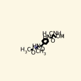 CC(=O)/N=C(\C)NC(=O)c1ccc(NC(=O)C(C)(N)CO)cc1